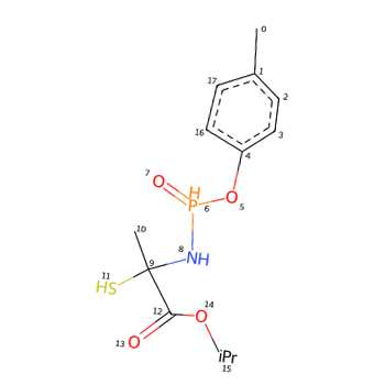 Cc1ccc(O[PH](=O)NC(C)(S)C(=O)OC(C)C)cc1